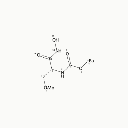 COC[C@@H](NC(=O)OC(C)(C)C)C(=O)NO